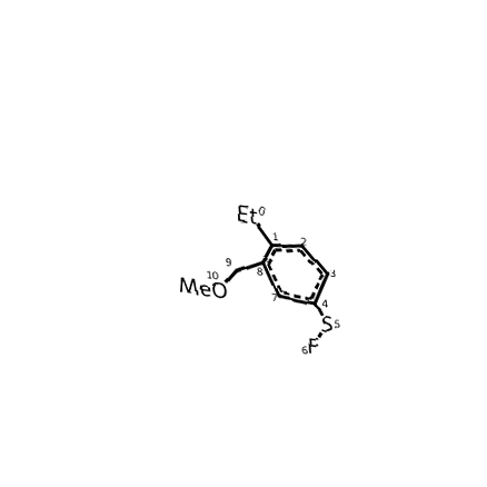 CCc1ccc(SF)cc1COC